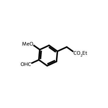 CCOC(=O)Cc1ccc(C=O)c(OC)c1